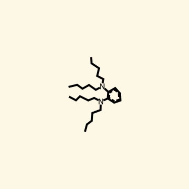 CCCCCN(CCCCC)c1ccccc1N(CCCCC)CCCCC